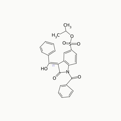 CC(C)OS(=O)(=O)c1ccc2c(c1)/C(=C(/O)c1ccccc1)C(=O)N2C(=O)c1ccccc1